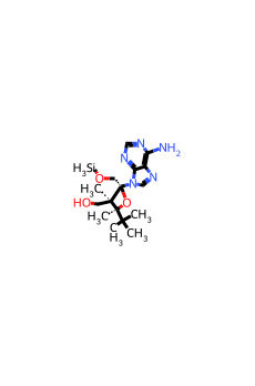 CC(C)(C)[C@]1(C)O[C@](CO[SiH3])(n2cnc3c(N)ncnc32)[C@]1(C)CO